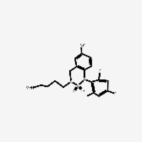 [C-]#[N+]c1ccc2c(c1)CN(CCCCNC)S(=O)(=O)N2c1c(F)cc(F)cc1F